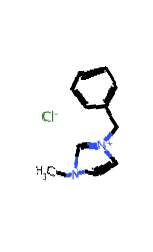 Cn1cc[n+](Cc2ccccc2)c1.[Cl-]